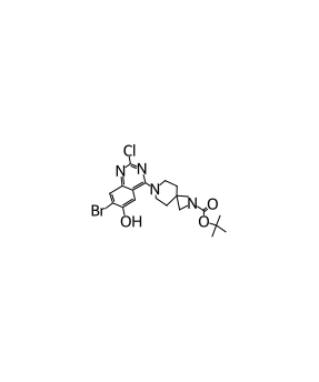 CC(C)(C)OC(=O)N1CC2(CCN(c3nc(Cl)nc4cc(Br)c(O)cc34)CC2)C1